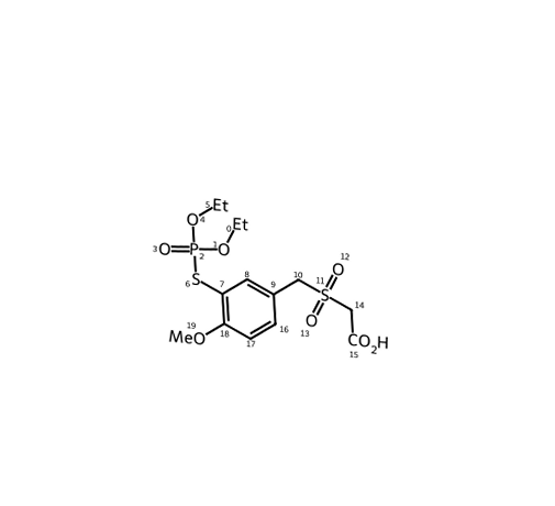 CCOP(=O)(OCC)Sc1cc(CS(=O)(=O)CC(=O)O)ccc1OC